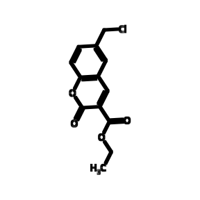 CCOC(=O)c1cc2cc(CCl)ccc2oc1=O